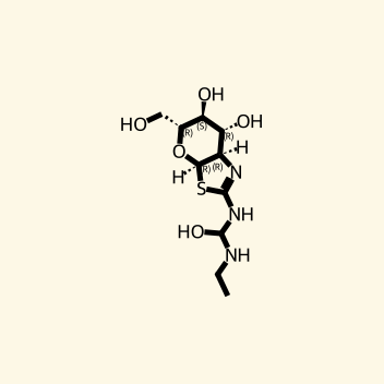 CCNC(O)NC1=N[C@@H]2[C@@H](O)[C@H](O)[C@@H](CO)O[C@@H]2S1